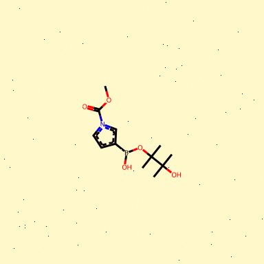 COC(=O)n1ccc(B(O)OC(C)(C)C(C)(C)O)c1